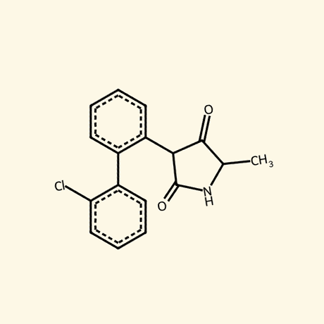 CC1NC(=O)C(c2ccccc2-c2ccccc2Cl)C1=O